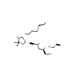 C=CCS/C(=C\CCC)CC(O)C#C[C@@H]1[C@@H](CCCCCCC(C)=O)C(C)C(C)(C)[C@H]1O